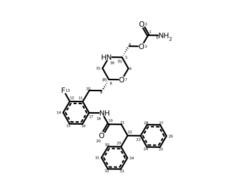 NC(=O)OC[C@@H]1CO[C@H](CCc2c(F)cccc2NC(=O)CC(c2ccccc2)c2ccccc2)CN1